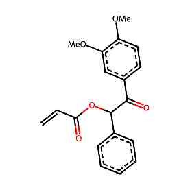 C=CC(=O)OC(C(=O)c1ccc(OC)c(OC)c1)c1ccccc1